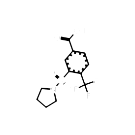 O=C(O)c1ccc(C(F)(F)F)c(S(=O)(=O)N2CCCC2)c1